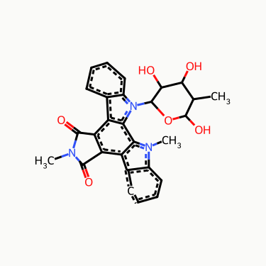 CC1C(O)OC(n2c3ccccc3c3c4c(c5c6ccccc6n(C)c5c32)C(=O)N(C)C4=O)C(O)C1O